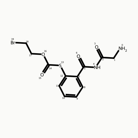 NCC(=O)NC(=O)c1ccccc1SC(=O)OCCBr